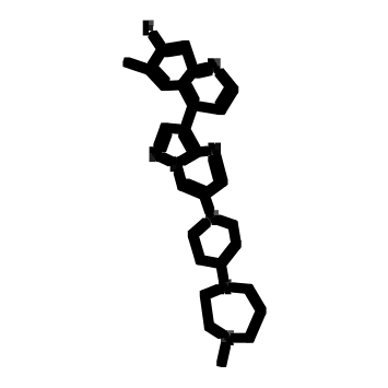 Cc1cc2c(-c3cnn4cc(N5CCC(N6CCCN(C)CC6)CC5)cnc34)ccnc2cc1F